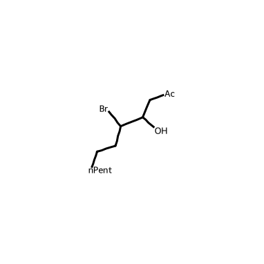 CCCCCCCC(Br)C(O)CC(C)=O